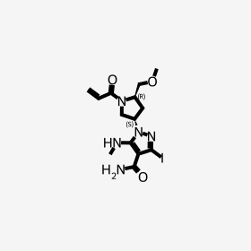 C=CC(=O)N1C[C@@H](n2nc(I)c(C(N)=O)c2NC)C[C@@H]1COC